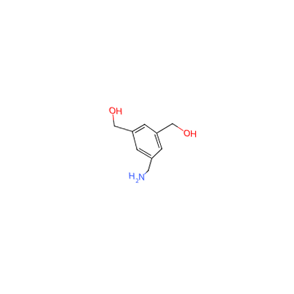 NCc1cc(CO)cc(CO)c1